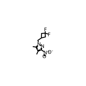 Cc1c([N+](=O)[O-])nn(CC2CC(F)(F)C2)c1C